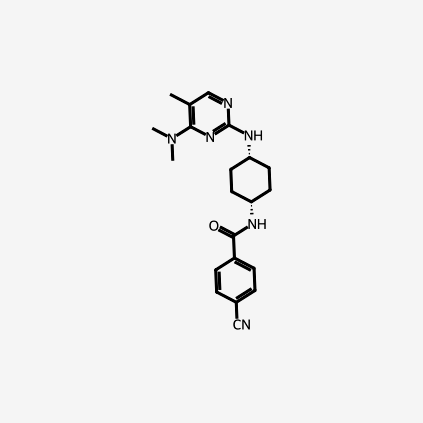 Cc1cnc(N[C@H]2CC[C@@H](NC(=O)c3ccc(C#N)cc3)CC2)nc1N(C)C